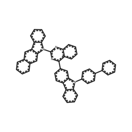 c1ccc(-c2ccc(-n3c4ccccc4c4ccc(-c5nc(-n6c7ccccc7c7cc8ccccc8cc76)nc6ccccc56)cc43)cc2)cc1